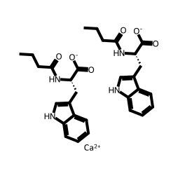 CCCC(=O)N[C@@H](Cc1c[nH]c2ccccc12)C(=O)[O-].CCCC(=O)N[C@@H](Cc1c[nH]c2ccccc12)C(=O)[O-].[Ca+2]